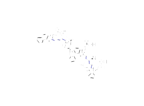 CCOC(=O)CCN1\C(=C/C=C/C=C2/SC(=S)N(CC(=O)N(Cc3ccccc3)c3ccc4c(c3)C(C)(C)C(/C=C/C(C#N)=C/C=C3/N(CCC(=O)O)c5ccccc5C3(C)CCC(C)C)N4CCC(=O)O)C2=O)C(C)(C)c2c1ccc1ccccc21